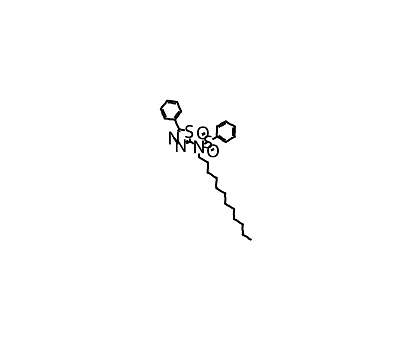 CCCCCCCCCCCCN(c1nnc(-c2ccccc2)s1)S(=O)(=O)c1ccccc1